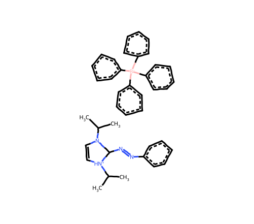 CC(C)N1C=C[NH+](C(C)C)C1/N=N/c1ccccc1.c1ccc([B-](c2ccccc2)(c2ccccc2)c2ccccc2)cc1